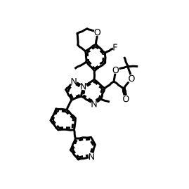 Cc1nc2c(-c3cccc(-c4ccncc4)c3)cnn2c(-c2cc(F)c3c(c2C)CCCO3)c1C1OC(C)(C)OC1=O